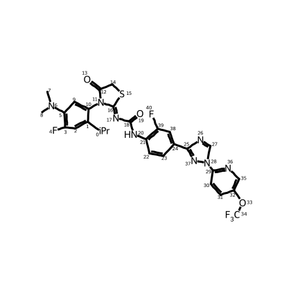 CC(C)c1cc(F)c(N(C)C)cc1N1C(=O)CS/C1=N\C(=O)Nc1ccc(-c2ncn(-c3ccc(OC(F)(F)F)cn3)n2)cc1F